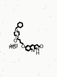 Cl.Cl.O=C1Cc2cc3cc(OCCCC(=O)N4CCN(CC5CCCCC5)CC4)ccc3nc2N1